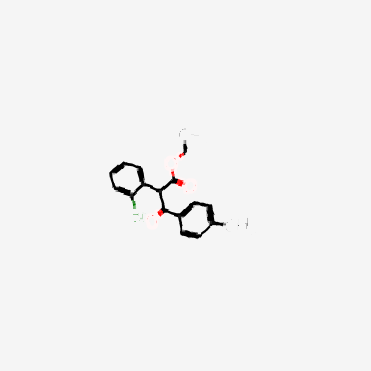 CCOC(=O)C(C(=O)c1ccc(C)cc1)c1ccccc1Br